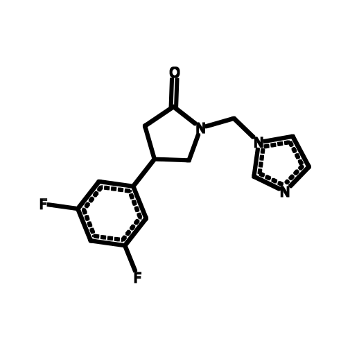 O=C1CC(c2cc(F)cc(F)c2)CN1Cn1ccnc1